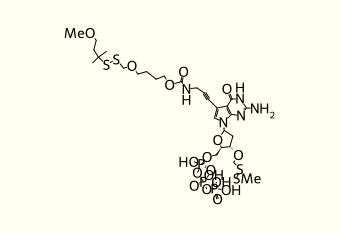 COCCC(C)(C)SSCOCCCCOC(=O)NCC#Cc1cn([C@H]2C[C@H](OCSSC)[C@@H](COP(=O)(O)OP(=O)(O)OP(=O)(O)O)O2)c2nc(N)[nH]c(=O)c12